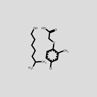 CC(C)CCCCCO.Cc1cc(Cl)ccc1OCC(=O)O